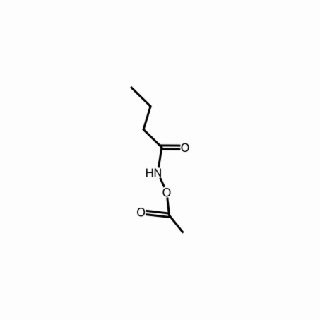 CCCC(=O)NOC(C)=O